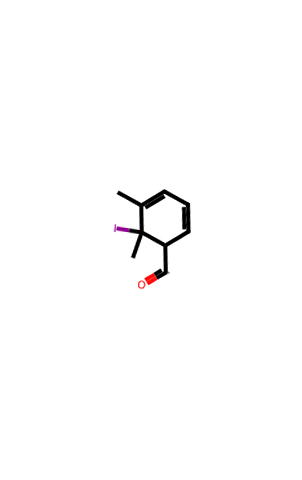 CC1=CC=CC([C]=O)C1(C)I